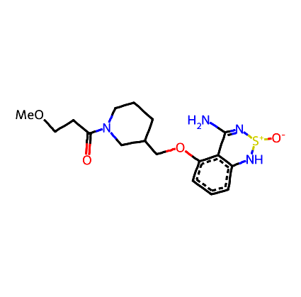 COCCC(=O)N1CCCC(COc2cccc3c2C(N)=N[S+]([O-])N3)C1